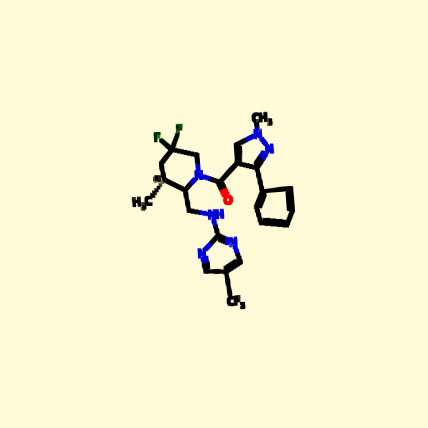 C[C@@H]1CC(F)(F)CN(C(=O)c2cn(C)nc2-c2ccccc2)C1CNc1ncc(C(F)(F)F)cn1